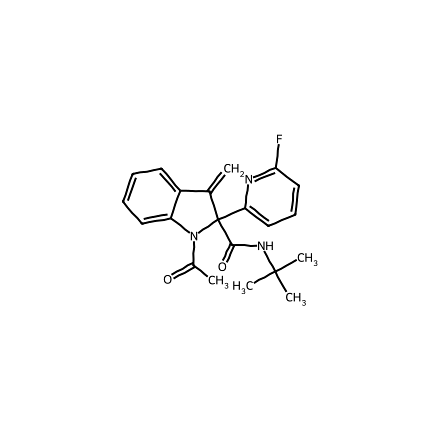 C=C1c2ccccc2N(C(C)=O)C1(C(=O)NC(C)(C)C)c1cccc(F)n1